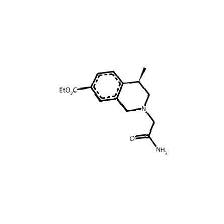 CCOC(=O)c1ccc2c(c1)CN(CC(N)=O)C[C@@H]2C